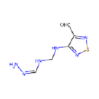 N/N=C\NCNc1nsnc1C=O